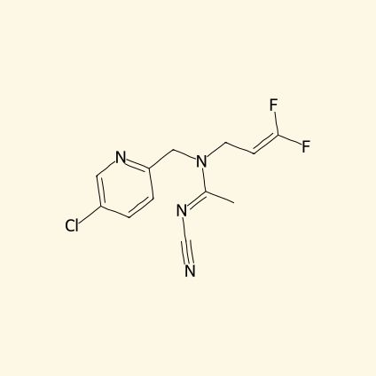 CC(=NC#N)N(CC=C(F)F)Cc1ccc(Cl)cn1